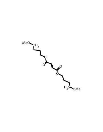 CO[SiH2]CCCOC(=O)/C=C/C(=O)OCCC[SiH2]OC